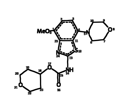 COc1ccc(N2CCOCC2)c2sc(NC(=O)OC3CCOCC3)nc12